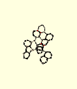 c1ccc(-n2c3ccccc3c3cccc(N(c4ccc(-c5cccc6ccccc56)cc4)c4ccccc4-c4cccc5cccc(C6CCCCC6)c45)c32)cc1